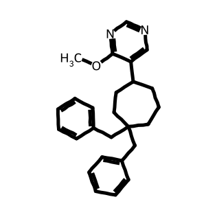 COc1ncncc1C1CCCC(Cc2ccccc2)(Cc2ccccc2)CC1